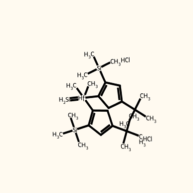 CC(C)(C)C1=CC([Si](C)(C)C)=[C]([Hf]([CH3])([CH3])(=[SiH2])[C]2=C([Si](C)(C)C)C=C(C(C)(C)C)C2)C1.Cl.Cl